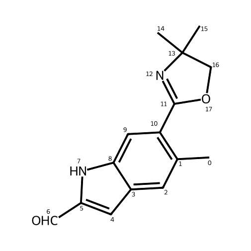 Cc1cc2cc(C=O)[nH]c2cc1C1=NC(C)(C)CO1